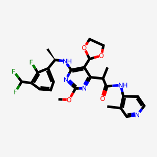 COc1nc(N[C@H](C)c2cccc(C(F)F)c2F)c(C2OCCO2)c(C(C)C(=O)Nc2ccncc2C)n1